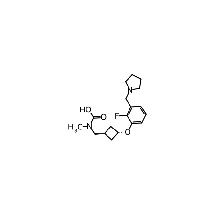 CN(C[C@H]1C[C@H](Oc2cccc(CN3CCCC3)c2F)C1)C(=O)O